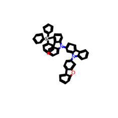 c1ccc([Si](c2ccccc2)(c2ccccc2)c2cccc3c2c2ccccc2n3-c2ccc3c4ccccc4n(-c4ccc5c(c4)oc4ccccc45)c3c2)cc1